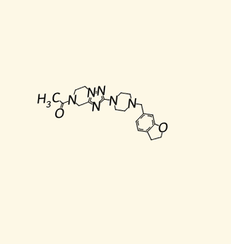 CC(=O)N1CCn2nc(N3CCN(Cc4ccc5c(c4)OCC5)CC3)nc2C1